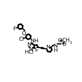 CS(=O)(=O)CCNCc1cccc(C#Cc2cc3c(Nc4ccc(OCc5cccc(F)c5)c(Cl)c4)ncnc3s2)n1.Cl